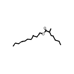 CCCCCCCCCCOC(=O)C(C)CCCCC